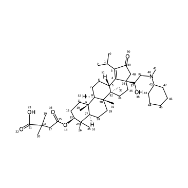 CC(C)C1=C2[C@H]3CC[C@@H]4[C@@]5(C)CC[C@H](OC(=O)CC(C)(C)C(=O)O)C(C)(C)[C@@H]5CC[C@@]4(C)[C@]3(C)CC[C@@]2(C(O)CN(C)C2CCCCC2)CC1=O